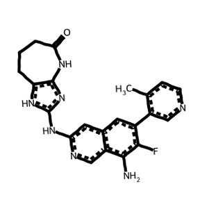 Cc1ccncc1-c1cc2cc(Nc3nc4c([nH]3)CCCC(=O)N4)ncc2c(N)c1F